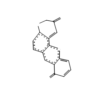 O=C1C=c2c(ccc3cc4c(nc23)=CC=CC4=O)OC1